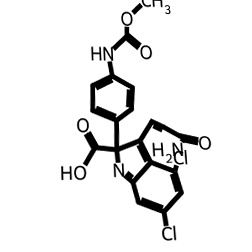 COC(=O)Nc1ccc(C2(C(=O)O)N=c3cc(Cl)cc(Cl)c3=C2/C=C\C(N)=O)cc1